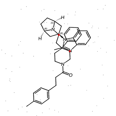 Cc1ccc(CCC(=O)N2CCC(CCN3[C@@H]4CC[C@H]3C[C@@H](n3c(C)nc5ccccc53)C4)(c3ccccc3)CC2)cc1